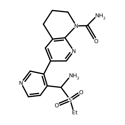 CCS(=O)(=O)C(N)c1ccncc1-c1cnc2c(c1)CCCN2C(N)=O